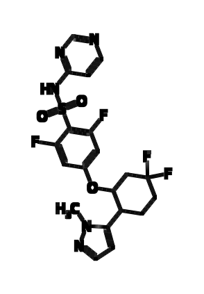 Cn1nccc1C1CCC(F)(F)CC1Oc1cc(F)c(S(=O)(=O)Nc2ccncn2)c(F)c1